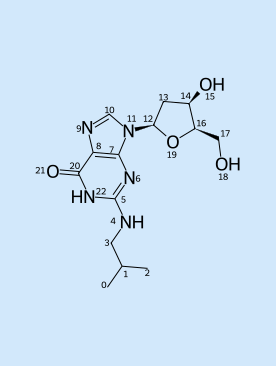 CC(C)CNc1nc2c(ncn2[C@H]2C[C@@H](O)[C@@H](CO)O2)c(=O)[nH]1